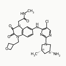 CNC(=O)Cn1c(=O)c(=O)n(CC2COC2)c2ccc(Nc3nc(N4C[C@@H](C)C[C@@H](N)C4)ncc3Cl)cc21